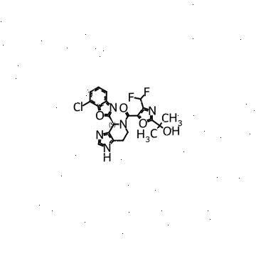 CC(C)(O)c1nc(C(F)F)c(C(=O)N2CCc3[nH]cnc3[C@H]2c2nc3cccc(Cl)c3o2)o1